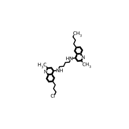 CCCCc1ccc2nc(C)cc(NCCCCNc3cc(C)nc4ccc(CCCCl)cc34)c2c1